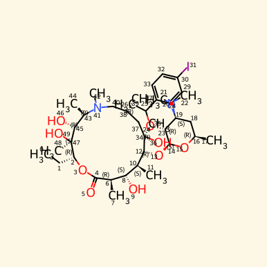 CC[C@H]1OC(=O)[C@H](C)[C@@H](O)[C@H](C)[C@@H](O[C@@H]2O[C@H](C)C[C@H](N(C)C)[C@H]2OC(C)c2ccc(I)cc2)[C@](C)(O)C[C@@H](C)CN(C)[C@H](C)[C@@H](O)[C@]1(C)O